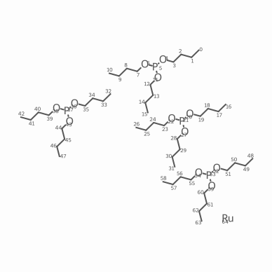 CCCCOP(OCCCC)OCCCC.CCCCOP(OCCCC)OCCCC.CCCCOP(OCCCC)OCCCC.CCCCOP(OCCCC)OCCCC.[Ru]